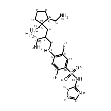 C[C@@H](N)C(CNc1cc(F)c(S(=O)(=O)Nc2ncns2)cc1F)C[C@]1(C)CCC[C@H]1CN